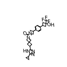 O=C(N1CC(c2ccc(C3CC(O)(C(F)(F)F)C3)cc2)C1)N1CC2(CC(c3nnc(C4CC4)[nH]3)C2)C1